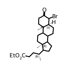 CCOC(=O)CC[C@@H](C)C1CCC2C3CC[C@@H]4C(Br)C(=O)CC[C@]4(C)C3CC[C@@]21C